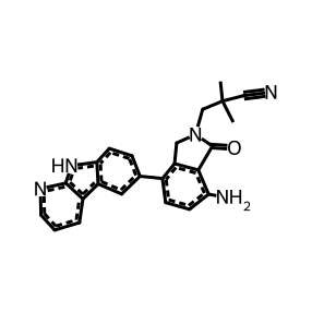 CC(C)(C#N)CN1Cc2c(-c3ccc4[nH]c5ncccc5c4c3)ccc(N)c2C1=O